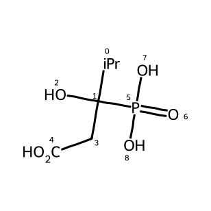 CC(C)C(O)(CC(=O)O)P(=O)(O)O